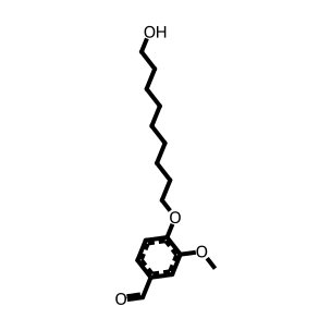 COc1cc(C=O)ccc1OCCCCCCCCCO